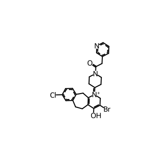 O=C(Cc1cccnc1)N1CCC(=[N+]2CC(Br)=C(O)C3=C2Cc2ccc(Cl)cc2CC3)CC1